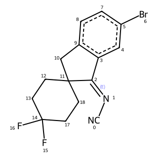 N#C/N=C1/c2cc(Br)ccc2CC12CCC(F)(F)CC2